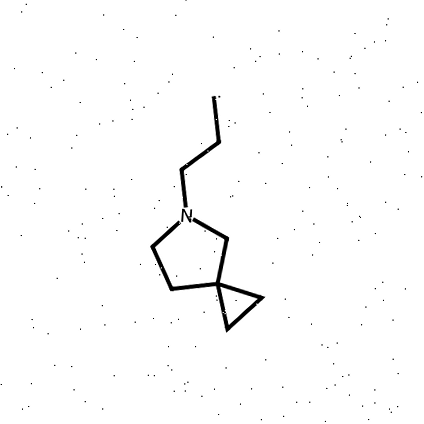 [CH2]CCN1CCC2(CC2)C1